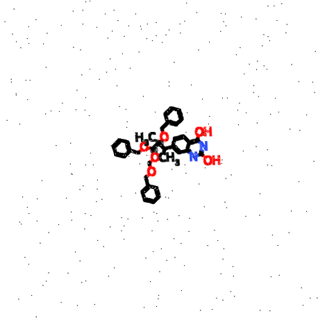 CC(c1ccc2c(O)nc(O)nc2c1)[C@](C)(OCc1ccccc1)[C@@H](OCOCc1ccccc1)OCc1ccccc1